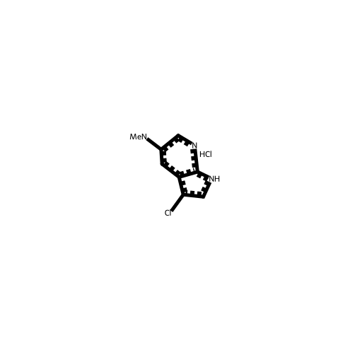 CNc1cnc2[nH]cc(Cl)c2c1.Cl